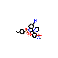 CCc1ccc(S(=O)(=O)N2C(=O)C(c3ccccc3OC)(N3CCC[C@@H]3OC(=O)N(C)C)c3cc(C#N)ccc32)cc1